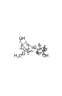 COC12CC3CC(CO)(CC(C1)C3OC(=O)C(F)(F)S(=O)(=O)O)C2